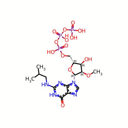 CO[C@@H]1[C@H](O)[C@@H](COP(=O)(O)OP(=O)(O)OP(=O)(O)O)O[C@H]1n1cnc2c(=O)[nH]c(NCC(C)C)nc21